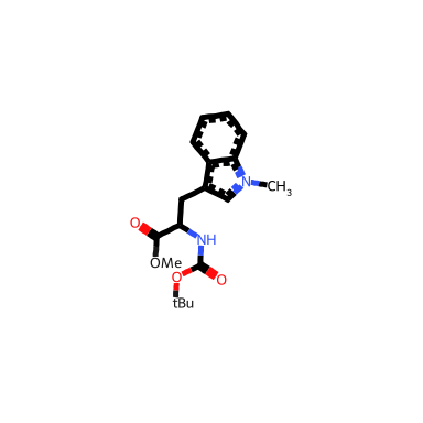 COC(=O)C(Cc1cn(C)c2ccccc12)NC(=O)OC(C)(C)C